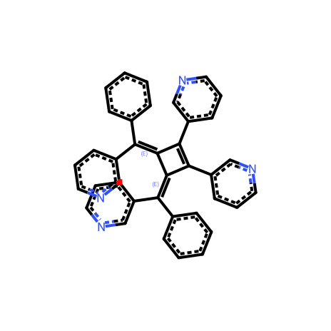 c1ccc(/C(=C2C(c3cccnc3)=C(c3cccnc3)C\2=C(/c2ccccc2)c2cccnc2)c2cccnc2)cc1